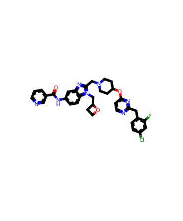 O=C(Nc1ccc2c(c1)nc(CN1CCC(Oc3ccnc(Cc4ccc(Cl)cc4F)n3)CC1)n2CC1CCO1)c1cccnc1